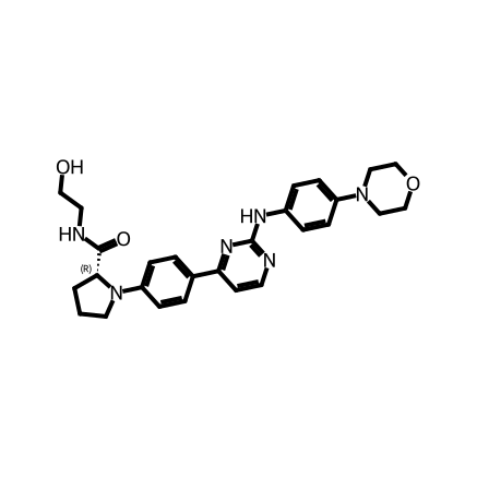 O=C(NCCO)[C@H]1CCCN1c1ccc(-c2ccnc(Nc3ccc(N4CCOCC4)cc3)n2)cc1